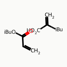 C=C(C(=O)O)C(C)CC.C=CC(=O)OCC(C)C